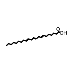 CCCCCCCCC=CCC=CCC=CCCCCCC(=O)O